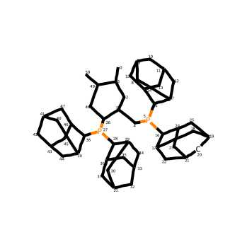 CC1CC(CP(C2C3CC4CC(C3)CC2C4)C2C3CC4CC(C3)CC2C4)C(P(C2C3CC4CC(C3)CC2C4)C2C3CC4CC(C3)CC2C4)CC1C